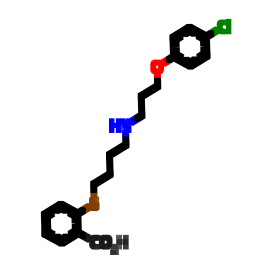 O=C(O)c1ccccc1SCCCCNCCCOc1ccc(Cl)cc1